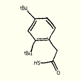 CC(C)(C)c1ccc(CC(=O)S)c(C(C)(C)C)c1